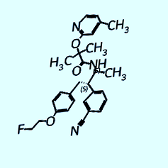 Cc1ccnc(OC(C)(C)C(=O)N[C@@H](C)[C@@H](Cc2ccc(OCCF)cc2)c2cccc(C#N)c2)c1